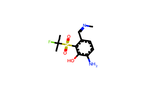 C/N=C\c1ccc(N)c(O)c1S(=O)(=O)C(C)(C)F